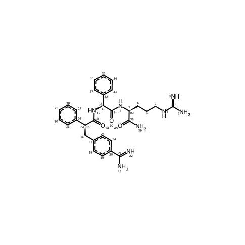 N=C(N)NCCC[C@H](NC(=O)[C@@H](NC(=O)[C@@H](Cc1ccc(C(=N)N)cc1)c1ccccc1)c1ccccc1)C(N)=O